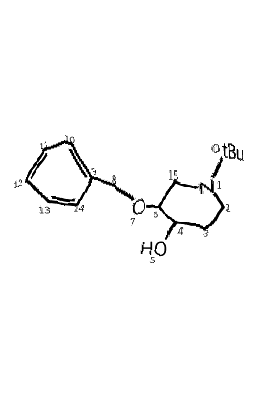 CC(C)(C)N1CCC(O)C(OCc2ccccc2)C1